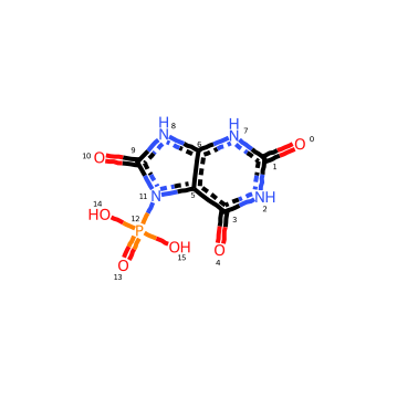 O=c1[nH]c(=O)c2c([nH]1)[nH]c(=O)n2P(=O)(O)O